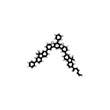 C=C(/C=C\C=C/C)c1ccc2c(c1)C(C)(C)c1cc(-c3ccc4oc5c(-c6ccccc6)c6oc7ccc(-c8ccc9c(c8)C(C)(C)c8cc(-c%10ccccc%10)ccc8-9)cc7c6cc5c4c3)ccc1-2